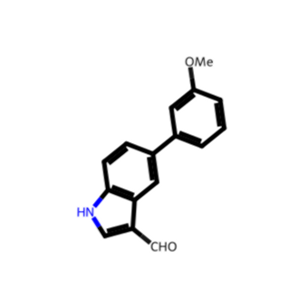 COc1cccc(-c2ccc3[nH]cc(C=O)c3c2)c1